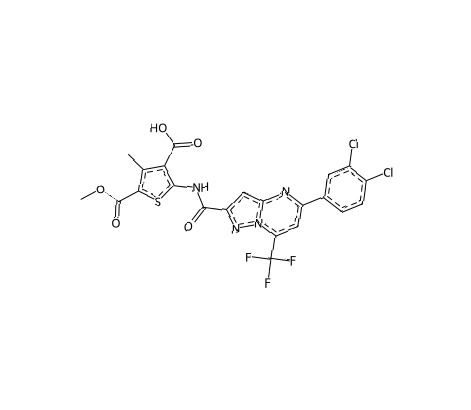 COC(=O)c1sc(NC(=O)c2cc3nc(-c4ccc(Cl)c(Cl)c4)cc(C(F)(F)F)n3n2)c(C(=O)O)c1C